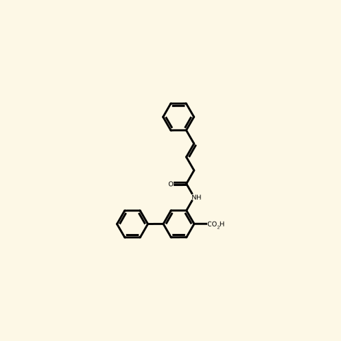 O=C(C/C=C/c1ccccc1)Nc1cc(-c2ccccc2)ccc1C(=O)O